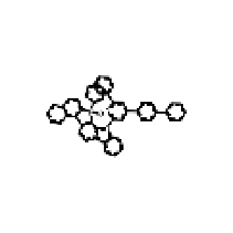 O=P1(c2ccccc2)c2ccc3ccccc3c2-c2ccc3c4ccccc4n(-c4cc(-c5ccc(-c6ccccc6)cc5)cc(-c5ccccc5)n4)c3c21